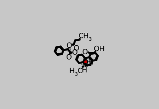 CCCC(=O)O[C@@H](C(=O)OC1=CC[C@@]2(O)[C@H]3Cc4ccc(O)c5c4C2(CCN3C)C1O5)c1ccccc1